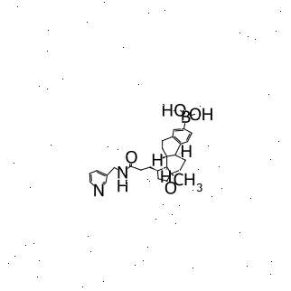 C[C@]12CC[C@@H]3c4ccc(B(O)O)cc4CC[C@H]3[C@@H]1[C@H](CCC(=O)NCc1cccnc1)CC2=O